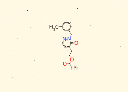 CCCC(=O)OCCc1ccnn(Cc2cccc(C)c2)c1=O